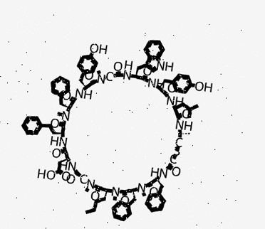 CCCC[C@H]1C(=O)N(C)CC(=O)N[C@@H](CC(=O)O)C(=O)N[C@@H](CCc2ccccc2)C(=O)N(C)[C@@H](Cc2ccccc2)C(=O)N[C@@H](Cc2ccc(O)cc2)C(=O)N(C)CC(=O)N[C@@H](Cc2c[nH]c3ccccc23)C(=O)N[C@@H](Cc2ccc(O)cc2)C(=O)NC(CC(C)C)C(=O)N[C@H](C)CSCC(=O)N[C@@H](Cc2ccccc2)C(=O)N(C)[C@@H](Cc2ccccc2)C(=O)N1C